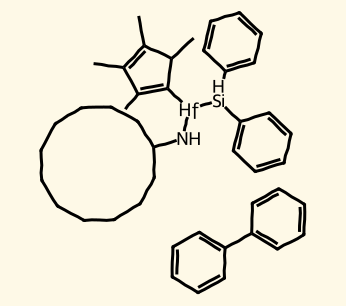 CC1=C(C)C(C)[C]([Hf]([NH]C2CCCCCCCCCCC2)[SiH](c2ccccc2)c2ccccc2)=C1C.c1ccc(-c2ccccc2)cc1